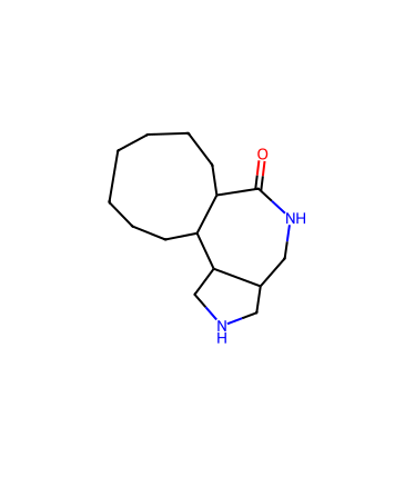 O=C1NCC2CNCC2C2CCCCCCCC12